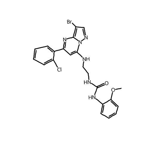 COc1ccccc1NC(=O)NCCNc1cc(-c2ccccc2Cl)nc2c(Br)cnn12